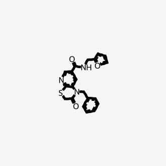 O=C(NCc1ccco1)c1cnc2c(c1)N(Cc1ccccc1)C(=O)CS2